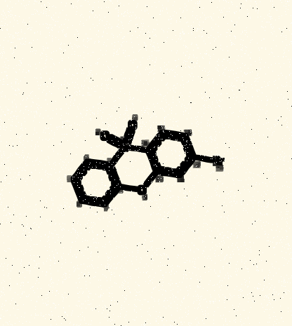 O=S1(=O)c2ccccc2Oc2cc(Br)ccc21